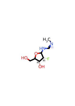 C/N=C\NC1OC(CO)[C@@H](O)[C@H]1F